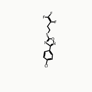 FC(F)=C(F)CCSc1nc(-c2ccc(Cl)cc2)no1